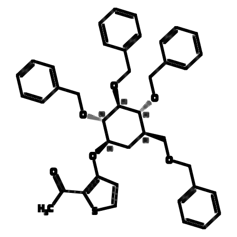 CC(=O)c1sccc1O[C@@H]1C[C@H](COCc2ccccc2)[C@@H](OCc2ccccc2)[C@H](OCc2ccccc2)[C@H]1OCc1ccccc1